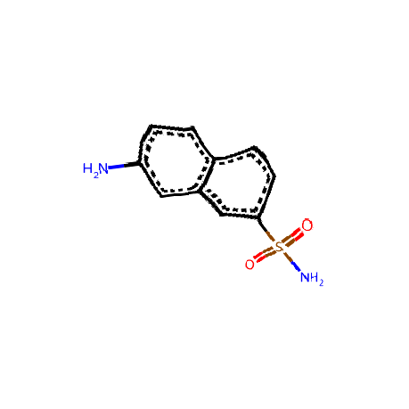 Nc1ccc2ccc(S(N)(=O)=O)cc2c1